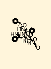 COCCNC(=O)[C@@H](O)[C@H](Cc1ccccc1)NC(=O)[C@H](Cc1c[nH]c2ccccc12)NC(=O)C(C)NC(=O)OCc1ccccc1